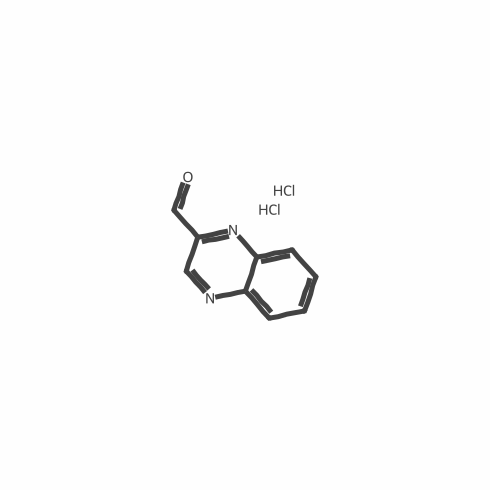 Cl.Cl.O=Cc1cnc2ccccc2n1